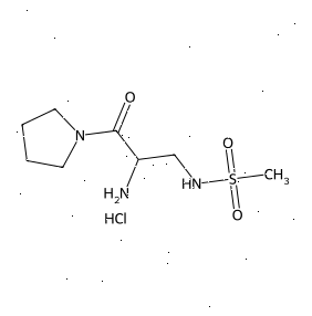 CS(=O)(=O)NCC(N)C(=O)N1CCCC1.Cl